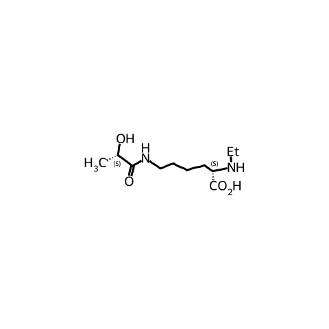 CCN[C@@H](CCCCNC(=O)[C@H](C)O)C(=O)O